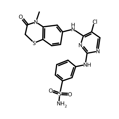 CN1C(=O)CSc2ccc(Nc3nc(Nc4cccc(S(N)(=O)=O)c4)ncc3Cl)cc21